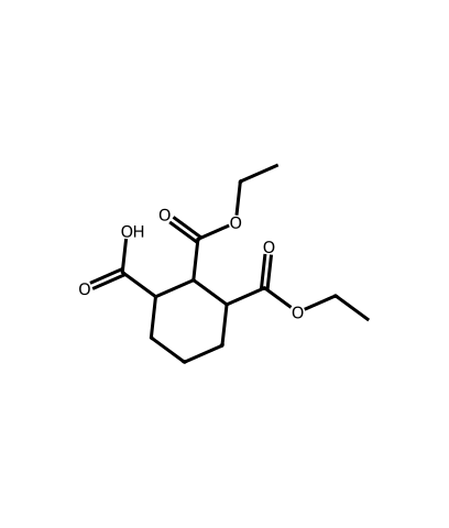 CCOC(=O)C1CCCC(C(=O)O)C1C(=O)OCC